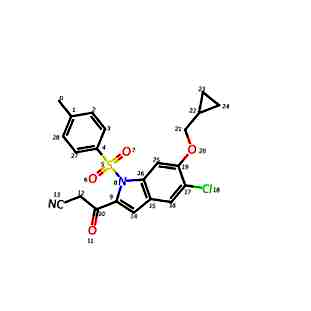 Cc1ccc(S(=O)(=O)n2c(C(=O)CC#N)cc3cc(Cl)c(OCC4CC4)cc32)cc1